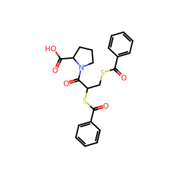 O=C(SCC(SC(=O)c1ccccc1)C(=O)N1CCCC1C(=O)O)c1ccccc1